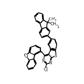 CC1(C)c2ccccc2-c2ccc(-c3ccc4sc5nc(Cl)nc(-c6cccc7oc8ccccc8c67)c5c4c3)cc21